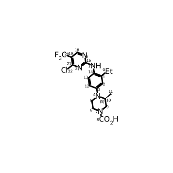 CCc1cc(N2CCN(C(=O)O)C[C@@H]2C)ccc1Nc1ncc(C(F)(F)F)c(Cl)n1